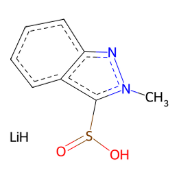 Cn1nc2ccccc2c1S(=O)O.[LiH]